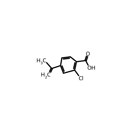 C=C(C)c1ccc(C(=O)O)c(Cl)c1